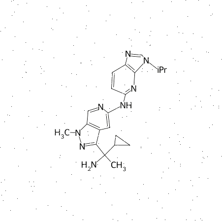 CC(C)n1cnc2ccc(Nc3cc4c(C(C)(N)C5CC5)nn(C)c4cn3)nc21